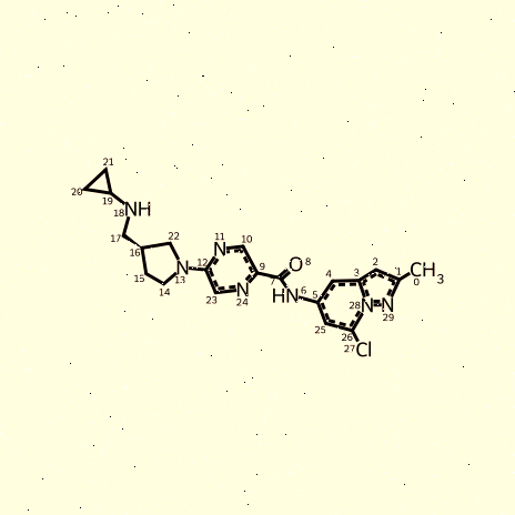 Cc1cc2cc(NC(=O)c3cnc(N4CC[C@@H](CNC5CC5)C4)cn3)cc(Cl)n2n1